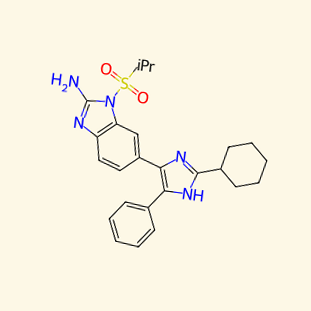 CC(C)S(=O)(=O)n1c(N)nc2ccc(-c3nc(C4CCCCC4)[nH]c3-c3ccccc3)cc21